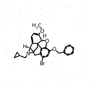 COC1=CC=C2[C@H]3N(CC4CC4)C34Cc3c(Br)cc(OCc5ccccc5)c5c3C2(C4)[C@@H]1O5